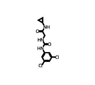 O=C(CNC(=O)Nc1cc(Cl)cc(Cl)c1)NC1CC1